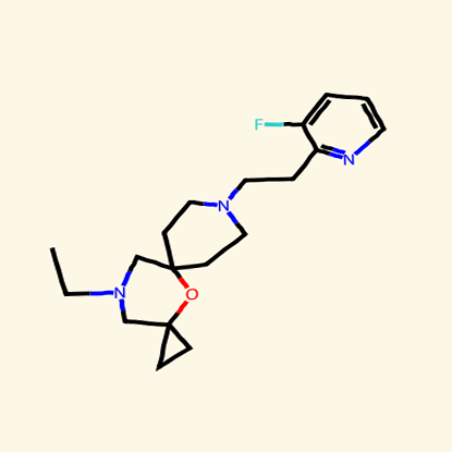 CCN1CC2(CCN(CCc3ncccc3F)CC2)OC2(CC2)C1